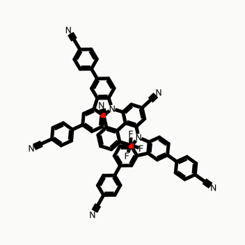 N#Cc1ccc(-c2ccc3c(c2)c2cc(-c4ccc(C#N)cc4)ccc2n3-c2cc(C#N)cc(-n3c4ccc(-c5ccc(C#N)cc5)cc4c4cc(-c5ccc(C#N)cc5)ccc43)c2-c2c(C#N)cccc2C(F)(F)F)cc1